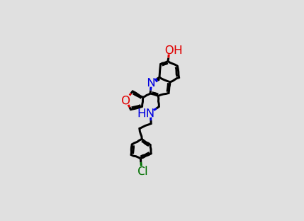 Oc1ccc2cc(CNCCc3ccc(Cl)cc3)c(-c3ccoc3)nc2c1